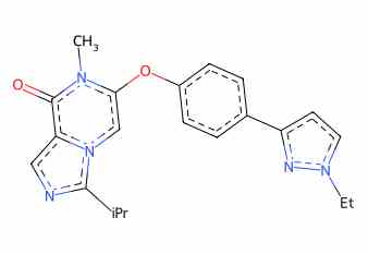 CCn1ccc(-c2ccc(Oc3cn4c(C(C)C)ncc4c(=O)n3C)cc2)n1